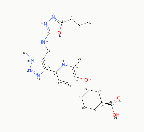 CCCc1nnc(NCc2c(-c3ccc(O[C@H]4CCC[C@H](C(=O)O)C4)c(C)n3)nnn2C)o1